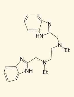 CCN(CCN(CC)Cc1nc2ccccc2[nH]1)Cc1nc2ccccc2[nH]1